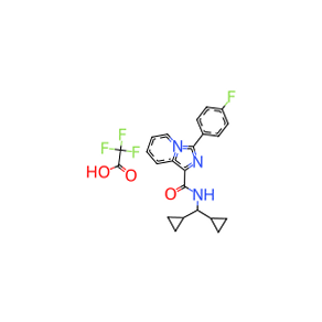 O=C(NC(C1CC1)C1CC1)c1nc(-c2ccc(F)cc2)n2ccccc12.O=C(O)C(F)(F)F